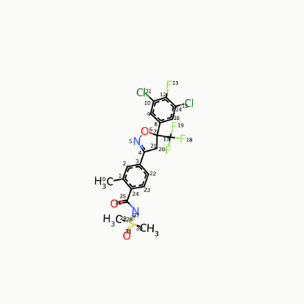 Cc1cc(C2=NOC(c3cc(Cl)c(F)c(Cl)c3)(C(F)(F)F)C2)ccc1C(=O)N=S(C)(C)=O